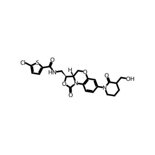 O=C(NC[C@@H]1OC(=O)N2c3ccc(N4CCCC(CO)C4=O)cc3OC[C@@H]12)c1ccc(Cl)s1